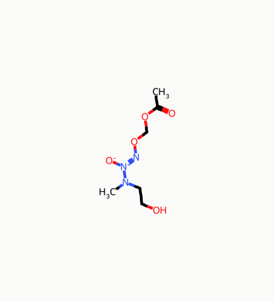 CC(=O)OCO/N=[N+](\[O-])N(C)CCO